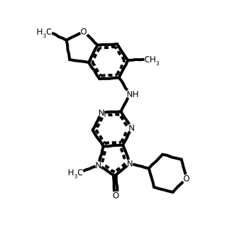 Cc1cc2c(cc1Nc1ncc3c(n1)n(C1CCOCC1)c(=O)n3C)CC(C)O2